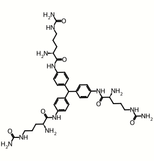 NC(=O)NCCC[C@H](N)C(=O)Nc1ccc(C(c2ccc(NC(=O)[C@@H](N)CCCNC(N)=O)cc2)c2ccc(NC(=O)[C@@H](N)CCCNC(N)=O)cc2)cc1